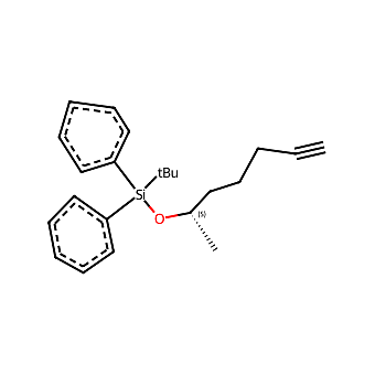 C#CCCC[C@H](C)O[Si](c1ccccc1)(c1ccccc1)C(C)(C)C